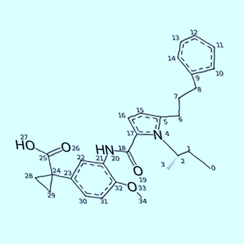 CC[C@H](C)n1c(CCCc2ccccc2)ccc1C(=O)Nc1cc(C2(C(=O)O)CC2)ccc1OC